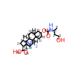 CC(CCO)NC(=O)O[C@H]1CC[C@@]2(C)[C@H](CC[C@@H]3[C@@H]2CC[C@]2(C)[C@@H](C(=O)O)CC[C@]32N)C1